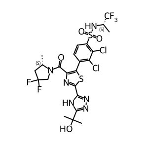 C[C@H](NS(=O)(=O)c1ccc(-c2sc(-c3nnc(C(C)(C)O)[nH]3)nc2C(=O)N2CC(F)(F)C[C@@H]2C)c(Cl)c1Cl)C(F)(F)F